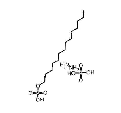 CCCCCCCCCCCCCCOS(=O)(=O)O.N.N.O=S(=O)(O)O